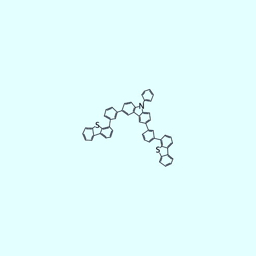 c1ccc(-n2c3ccc(-c4cccc(-c5cccc6c5sc5ccccc56)c4)cc3c3cc(-c4cccc(-c5cccc6c5sc5ccccc56)c4)ccc32)cc1